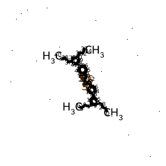 CCCCc1cc(CCCC)cc(-c2ccc3c(c2)sc2c3sc3c4ccc(-c5cc(CCCC)cc(CCCC)c5)cc4sc32)c1